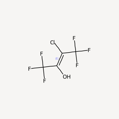 O/C(=C(/Cl)C(F)(F)F)C(F)(F)F